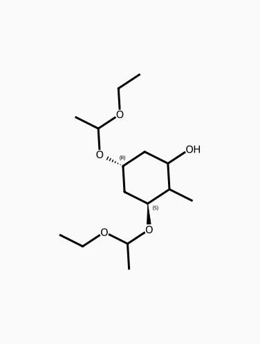 CCOC(C)O[C@@H]1CC(O)C(C)[C@@H](OC(C)OCC)C1